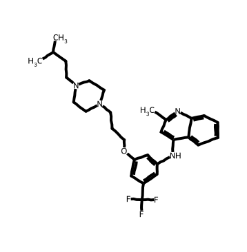 Cc1cc(Nc2cc(OCCCN3CCN(CCC(C)C)CC3)cc(C(F)(F)F)c2)c2ccccc2n1